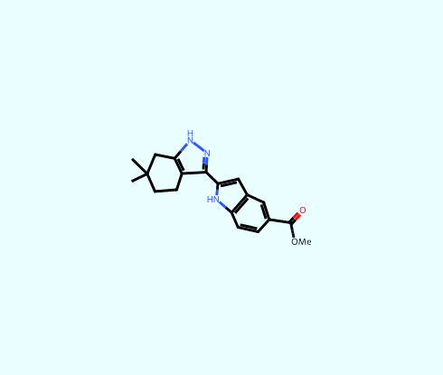 COC(=O)c1ccc2[nH]c(-c3n[nH]c4c3CCC(C)(C)C4)cc2c1